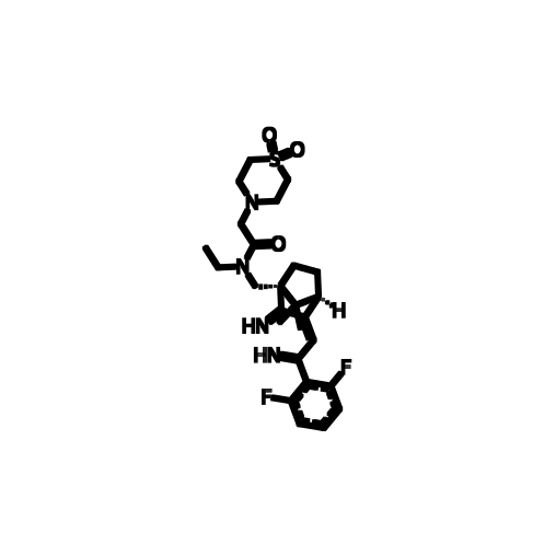 CCN(C[C@@]12CC[C@@H](/C(=C/C(=N)c3c(F)cccc3F)C1=N)C2(C)C)C(=O)CN1CCS(=O)(=O)CC1